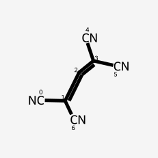 N#CC(=C=C(C#N)C#N)C#N